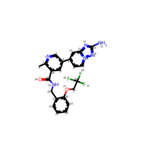 Cc1ncc(-c2ccn3nc(N)nc3c2)cc1C(=O)NCc1ccccc1OCC(F)(F)F